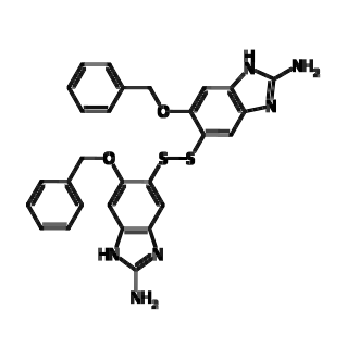 Nc1nc2cc(SSc3cc4nc(N)[nH]c4cc3OCc3ccccc3)c(OCc3ccccc3)cc2[nH]1